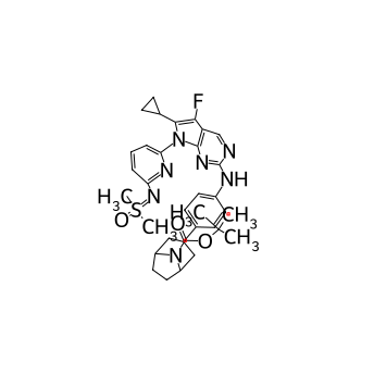 CC(C)(C)OC(=O)N1C2CCC1CC(c1ccc(Nc3ncc4c(F)c(C5CC5)n(-c5cccc(N=S(C)(C)=O)n5)c4n3)cc1)C2